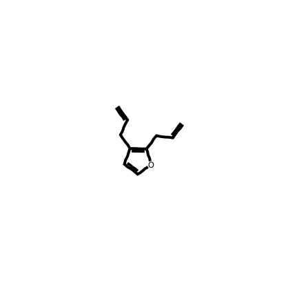 C=CCc1ccoc1CC=C